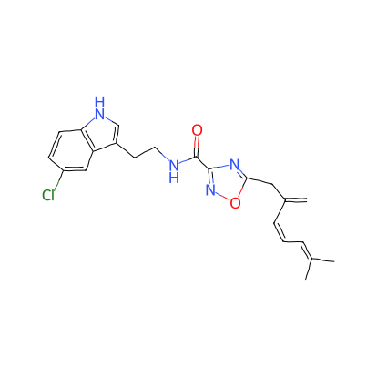 C=C(/C=C\C=C(C)C)Cc1nc(C(=O)NCCc2c[nH]c3ccc(Cl)cc23)no1